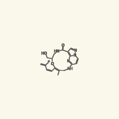 C=C(F)/C=C\C1=C(/C)CNc2ccn3ncc(c3n2)C(=O)NCC(CO)O1